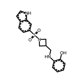 O=S(=O)(c1ccc2cc[nH]c2c1)N1CC(CNc2ccccc2O)C1